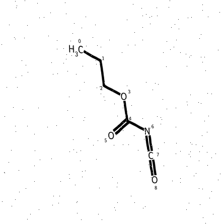 CCCOC(=O)N=C=O